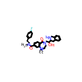 CCN1CCN(CC(O)C2Cc3ccccc3CN2)C(=O)c2ccc(C(=O)N(C)CCc3ccc(F)cc3)cc21